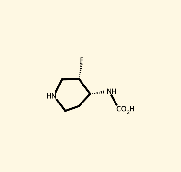 O=C(O)N[C@@H]1CCNC[C@@H]1F